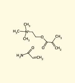 C=C(C)C(=O)OCC[N+](C)(C)C.C=CC(N)=O